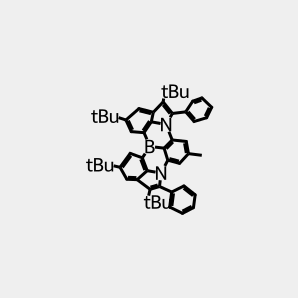 Cc1cc2c3c(c1)-n1c(-c4ccccc4)c(C(C)(C)C)c4cc(C(C)(C)C)cc(c41)B3c1cc(C(C)(C)C)cc3c(C(C)(C)C)c(-c4ccccc4)n-2c13